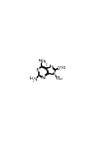 CCCCn1c(OC)nc2c(N)nc(N)nc21